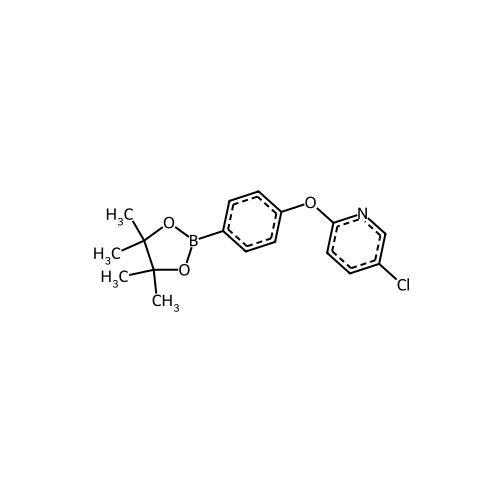 CC1(C)OB(c2ccc(Oc3ccc(Cl)cn3)cc2)OC1(C)C